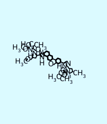 COCC1CC(c2nc3ccc4cc5c(cc4c3[nH]2)OCc2cc(-c3cnc(C4CC(C)CN4C(=O)OC(C)(C)C)[nH]3)ccc2-5)N(C(=O)C(NC(=O)OC)C(C)C)C1